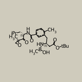 CB(O)N[C@H](CC(=O)OC(C)(C)C)Cc1cc(C(=O)N[C@@H](CC(C)C)C(=O)[C@]2(C)CO2)ccc1C